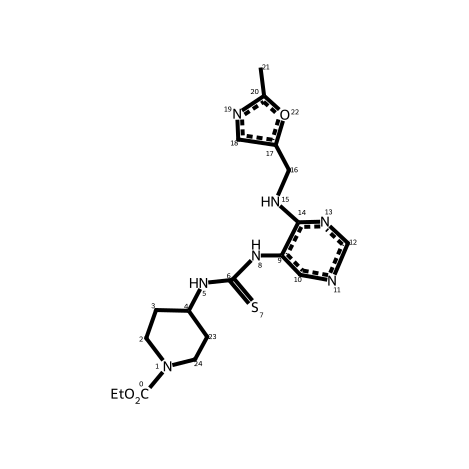 CCOC(=O)N1CCC(NC(=S)Nc2cncnc2NCc2cnc(C)o2)CC1